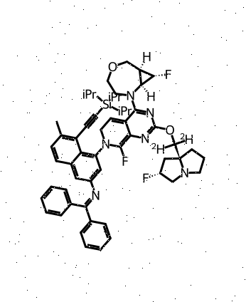 [2H]C([2H])(Oc1nc(N2CCOC[C@H]3[C@H](F)[C@H]32)c2c(n1)=C(F)N(c1cc(N=C(c3ccccc3)c3ccccc3)cc3ccc(C)c(C#C[Si](C(C)C)(C(C)C)C(C)C)c13)CC=2)[C@@]12CCCN1C[C@H](F)C2